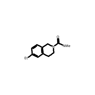 CCc1ccc2c(c1)CCN(C(=O)NC)C2